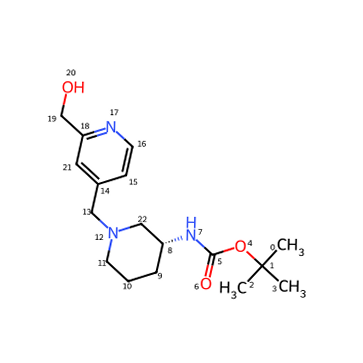 CC(C)(C)OC(=O)N[C@@H]1CCCN(Cc2ccnc(CO)c2)C1